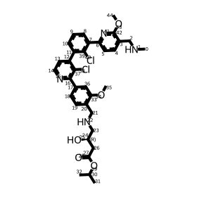 CNCc1ccc(-c2cccc(-c3ccnc(-c4ccc(CNC[C@H](O)CC(=O)OC(C)C)c(OC)c4)c3Cl)c2Cl)nc1OC